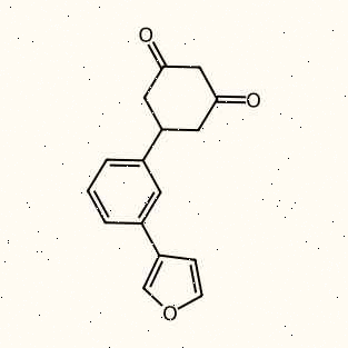 O=C1CC(=O)CC(c2cccc(-c3ccoc3)c2)C1